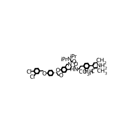 C=C/C=C(\C(C)=C(\C)N)c1ccc(C[C@H](NC(=O)[C@@H]2Cc3cc4c(cc3CN2C(=O)N(C(C)C)C(C)C)O[C@@H](c2ccc(OCc3ccc(Cl)c(Cl)c3)cc2)CO4)C(=O)O)cc1